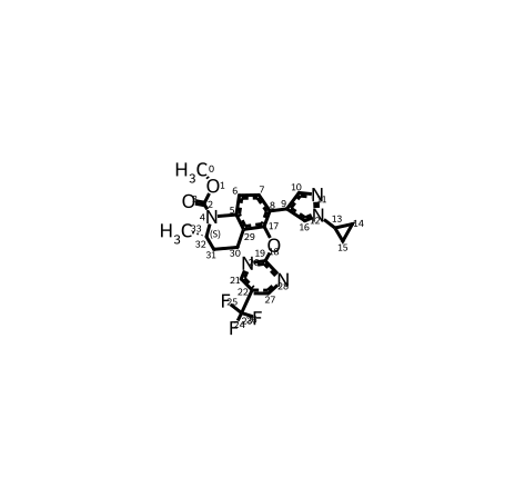 COC(=O)N1c2ccc(-c3cnn(C4CC4)c3)c(Oc3ncc(C(F)(F)F)cn3)c2CC[C@@H]1C